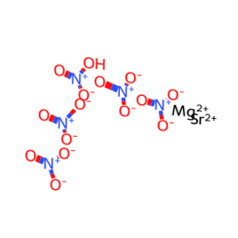 O=[N+]([O-])O.O=[N+]([O-])[O-].O=[N+]([O-])[O-].O=[N+]([O-])[O-].O=[N+]([O-])[O-].[Mg+2].[Sr+2]